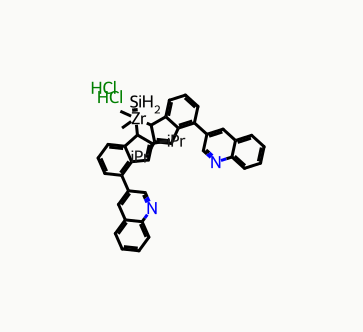 CC(C)C1=Cc2c(-c3cnc4ccccc4c3)cccc2[CH]1[Zr]([CH3])([CH3])(=[SiH2])[CH]1C(C(C)C)=Cc2c(-c3cnc4ccccc4c3)cccc21.Cl.Cl